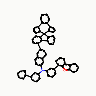 c1ccc(-c2cccc(N(c3cccc(-c4cccc5c4oc4ccccc45)c3)c3ccc4cc(-c5cccc6c5-c5ccccc5C65c6ccccc6-c6ccccc6-c6ccccc65)ccc4c3)c2)cc1